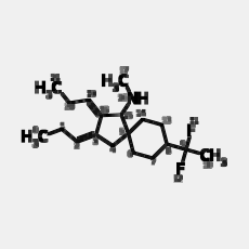 CC/C=C1/CC2(CCC(C(C)(F)F)CC2)C(NC)/C1=C/CC